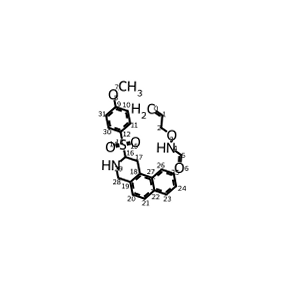 C=CCONC=O.COc1ccc(S(=O)(=O)C2Cc3c(ccc4ccccc34)CN2)cc1